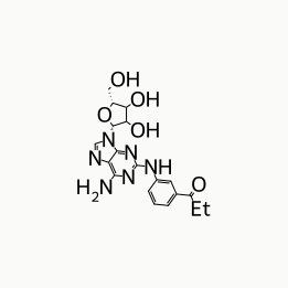 CCC(=O)c1cccc(Nc2nc(N)c3ncn([C@@H]4O[C@H](CO)C(O)C4O)c3n2)c1